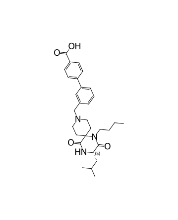 CCCCN1C(=O)[C@H](CC(C)C)NC(=O)C12CCN(Cc1cccc(-c3ccc(C(=O)O)cc3)c1)CC2